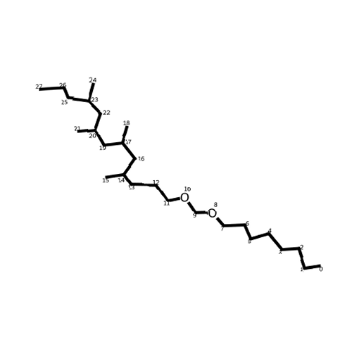 CCCCCCCCOCOCCCC(C)CC(C)CC(C)CC(C)CCC